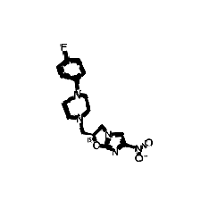 O=[N+]([O-])c1cn2c(n1)O[C@@H](CN1CCN(c3ccc(F)cc3)CC1)C2